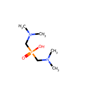 CN(C)CP(=O)(O)CN(C)C